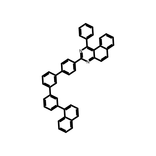 c1ccc(-c2nc(-c3ccc(-c4cccc(-c5cccc(-c6cccc7ccccc67)c5)c4)cc3)nc3ccc4ccccc4c23)cc1